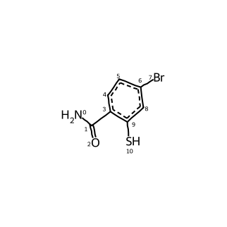 NC(=O)c1ccc(Br)cc1S